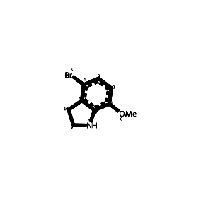 COc1ccc(Br)c2c1NCC2